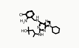 CC(CC(C)(C)O)Nc1nc(NCc2cccc(Cl)c2N)c2ncn(C3CCCCC3)c2n1